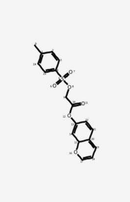 Cc1ccc(S(=O)(=O)OCC(=O)OC2=CC3OC=CC=C3C=C2)cc1